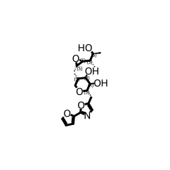 C[C@H]([C@@H]1O[C@H]1C[C@H]1CO[C@@H](Cc2cnc(-c3ccco3)o2)[C@H](O)[C@@H]1O)[C@H](C)O